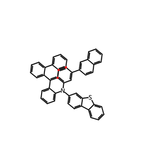 c1cc(-c2ccc3ccccc3c2)cc(N(c2ccc3c(c2)sc2ccccc23)c2ccccc2-c2cc3ccccc3c3ccccc23)c1